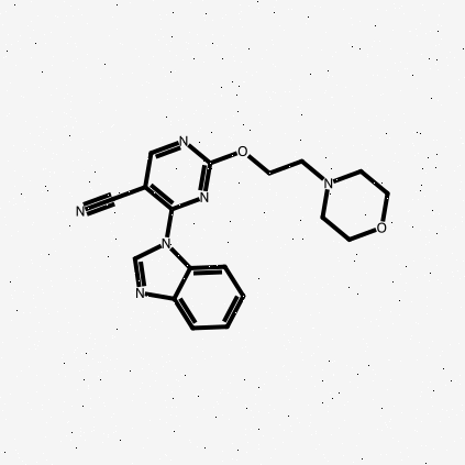 N#Cc1cnc(OCCN2CCOCC2)nc1-n1cnc2ccccc21